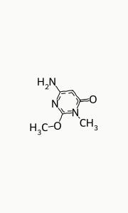 COc1nc(N)cc(=O)n1C